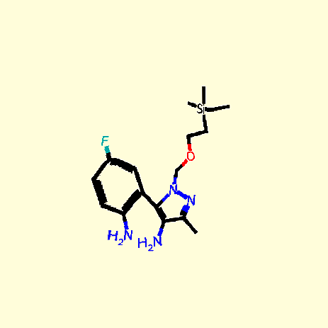 Cc1nn(COCC[Si](C)(C)C)c(-c2cc(F)ccc2N)c1N